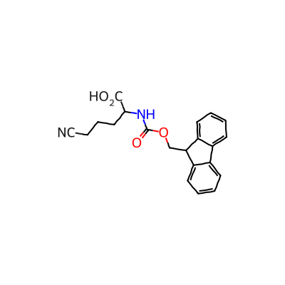 N#CCCCC(NC(=O)OCC1c2ccccc2-c2ccccc21)C(=O)O